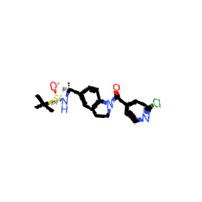 C[C@@H](N[S@+]([O-])C(C)(C)C)c1ccc2c(c1)CCN2C(=O)c1ccnc(Cl)c1